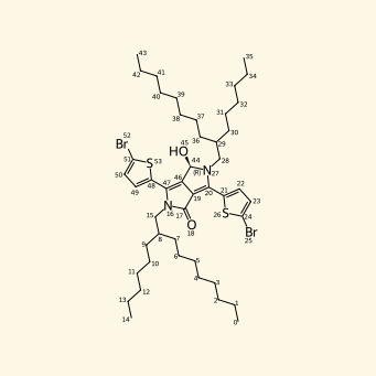 CCCCCCCCC(CCCCCC)CN1C(=O)C2=C(c3ccc(Br)s3)N(CC(CCCCCC)CCCCCCCC)[C@H](O)C2=C1c1ccc(Br)s1